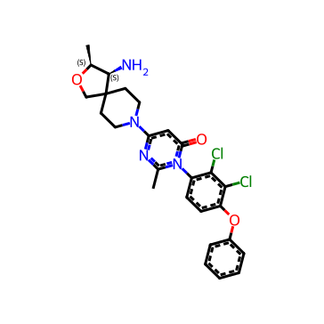 Cc1nc(N2CCC3(CC2)CO[C@@H](C)[C@H]3N)cc(=O)n1-c1ccc(Oc2ccccc2)c(Cl)c1Cl